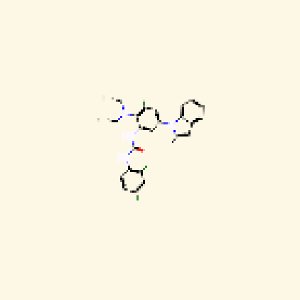 CC(C)CN(CC(C)C)c1c(Cl)cc(-n2c(C(=O)O)cc3ccccc32)cc1NC(=O)Nc1ccc(Cl)cc1F